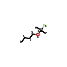 CCCCO[Si](C)(C)F